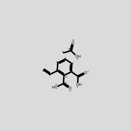 C=Cc1cccc(C(=O)O)c1C(=O)O.CC(=O)O